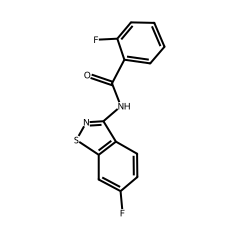 O=C(Nc1nsc2cc(F)ccc12)c1ccccc1F